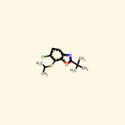 CC(C)Sc1c(Cl)ccc2nc(C(C)(C)C)oc12